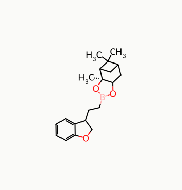 CC1(C)C2CC3OB(CCC4COc5ccccc54)O[C@@]3(C)C1C2